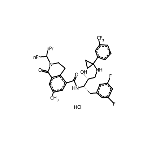 CCCC(CCC)N1CCc2c(C(=O)N[C@@H](Cc3cc(F)cc(F)c3)[C@H](O)CNC3(c4cccc(C(F)(F)F)c4)CC3)cc(C)cc2C1=O.Cl